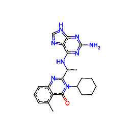 Cc1cccc2nc(C(C)Nc3nc(N)nc4[nH]cnc34)n(C3CCCCC3)c(=O)c12